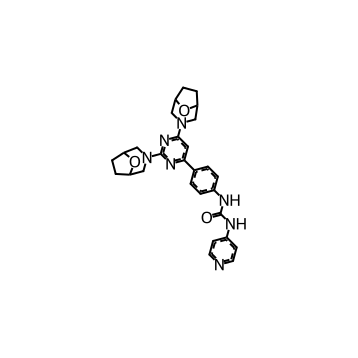 O=C(Nc1ccncc1)Nc1ccc(-c2cc(N3CC4CCC(C3)O4)nc(N3CC4CCC(C3)O4)n2)cc1